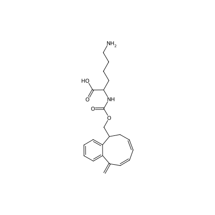 C=C1/C=C\C=C/CC(COC(=O)NC(CCCCN)C(=O)O)c2ccccc21